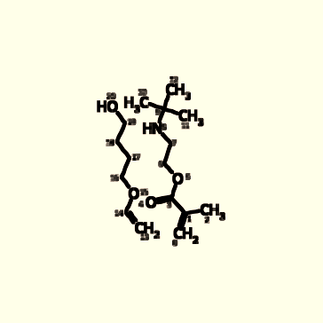 C=C(C)C(=O)OCCNC(C)(C)C.C=COCCCCO